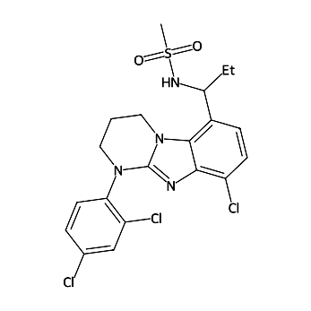 CCC(NS(C)(=O)=O)c1ccc(Cl)c2nc3n(c12)CCCN3c1ccc(Cl)cc1Cl